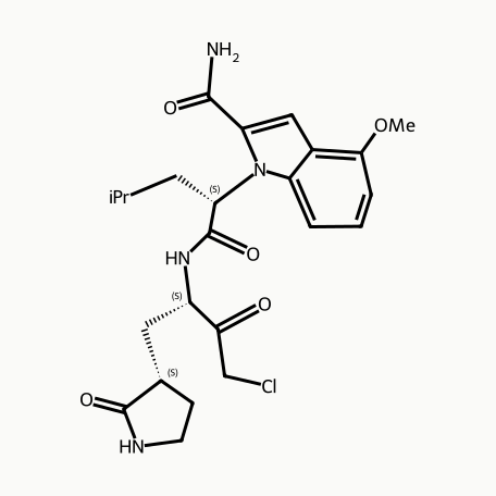 COc1cccc2c1cc(C(N)=O)n2[C@@H](CC(C)C)C(=O)N[C@@H](C[C@@H]1CCNC1=O)C(=O)CCl